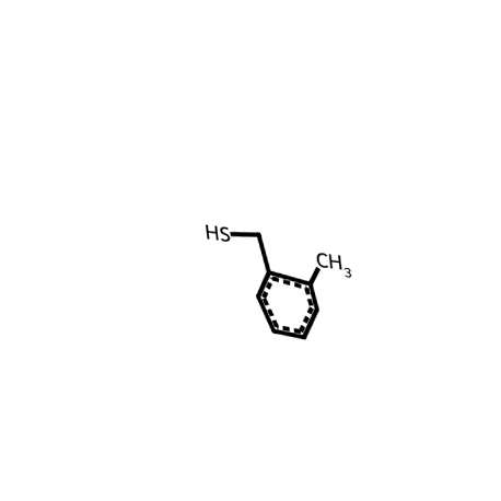 Cc1ccccc1CS